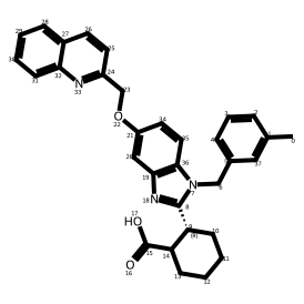 Cc1cccc(Cn2c([C@@H]3CCCCC3C(=O)O)nc3cc(OCc4ccc5ccccc5n4)ccc32)c1